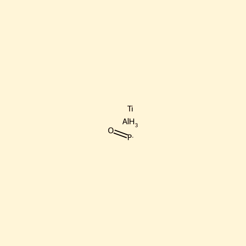 O=[P].[AlH3].[Ti]